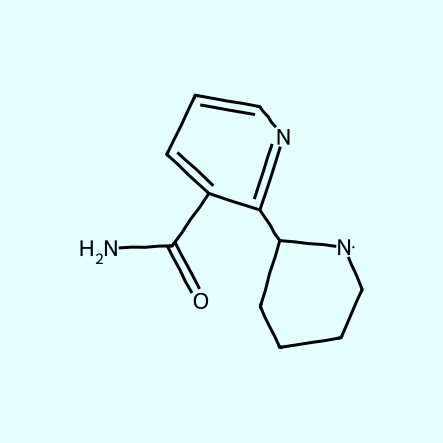 NC(=O)c1cccnc1C1CCCC[N]1